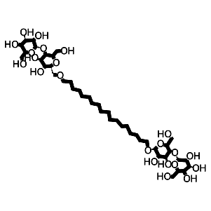 OCC1O[C@H](OC2C(CO)O[C@@H](OCCCCCCCCCCCCCCCCCCOC[C@H]3OC(CO)C(O[C@@H]4OC(CO)C(O)[C@H](O)C4O)[C@H](O)C3O)C(O)[C@@H]2O)C(O)[C@H](O)C1O